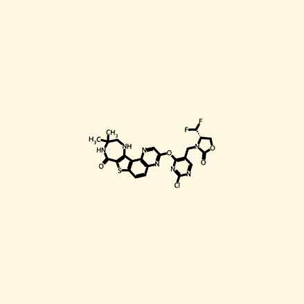 CC1(C)CNc2c(sc3ccc4nc(Oc5nc(Cl)ncc5CN5C(=O)OC[C@H]5C(F)F)cnc4c23)C(=O)N1